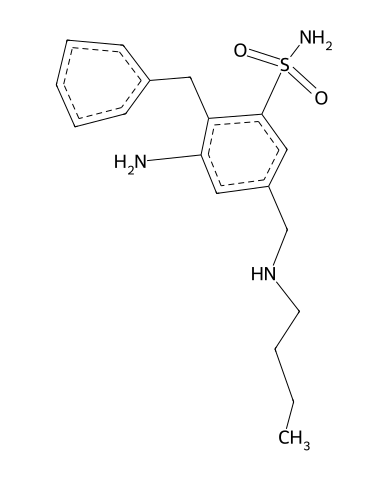 CCCCNCc1cc(N)c(Cc2ccccc2)c(S(N)(=O)=O)c1